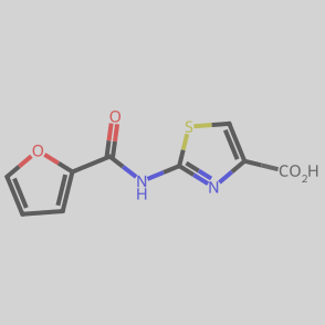 O=C(O)c1csc(NC(=O)c2ccco2)n1